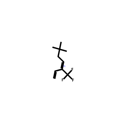 C=C/C(=C\CC(C)(C)C)C(F)(F)F